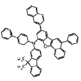 CC1(C)c2ccccc2-c2ccc(N(c3cc(-c4ccc5ccccc5c4)cc4c3oc3c5ccccc5c(-c5ccccc5)cc43)C3C=CC(c4ccccc4)=CC3)cc21